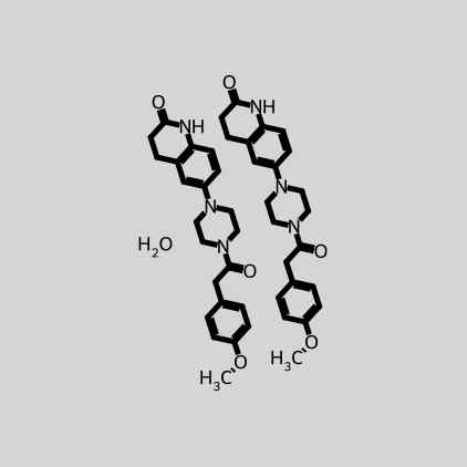 COc1ccc(CC(=O)N2CCN(c3ccc4c(c3)CCC(=O)N4)CC2)cc1.COc1ccc(CC(=O)N2CCN(c3ccc4c(c3)CCC(=O)N4)CC2)cc1.O